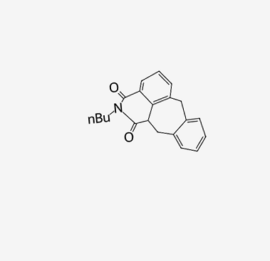 CCCCN1C(=O)c2cccc3c2C(Cc2ccccc2C3)C1=O